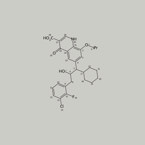 CC(C)Oc1cc(C(C(O)Cc2cccc(Cl)c2F)C2CCCCC2)cc2c(=O)c(C(=O)O)c[nH]c12